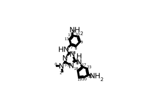 CN(C)c1nc(Nc2cccc(N)c2)nc(Nc2cccc(N)c2)n1